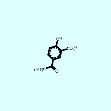 CCCCCCCC(=O)c1ccc(O)c(C(=O)O)c1